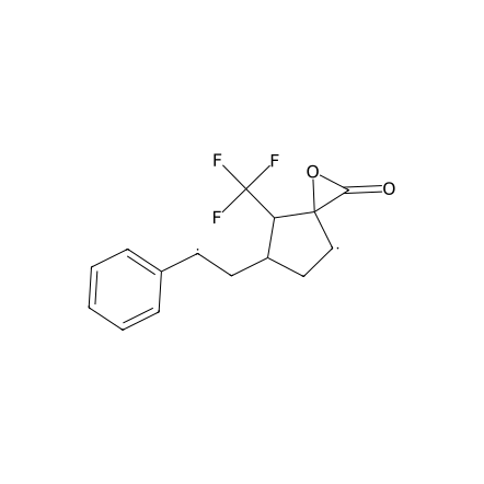 O=C1OC12[CH]CC(C[CH]c1ccccc1)C2C(F)(F)F